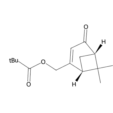 CC(C)(C)C(=O)OCC1=CC(=O)[C@H]2C[C@@H]1C2(C)C